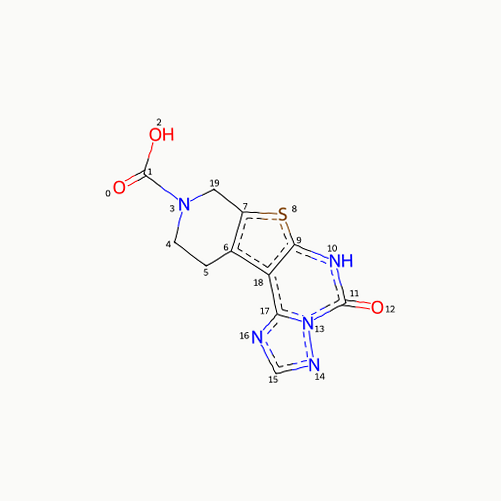 O=C(O)N1CCc2c(sc3[nH]c(=O)n4ncnc4c23)C1